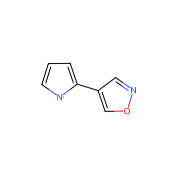 C1=C[N]C(c2cnoc2)=C1